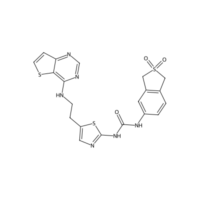 O=C(Nc1ccc2c(c1)CS(=O)(=O)C2)Nc1ncc(CCNc2ncnc3ccsc23)s1